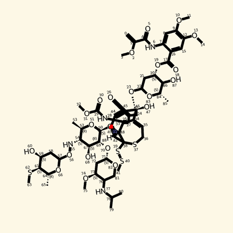 C=C(OC)C(=O)Nc1cc(OC)c(OC)cc1C(=O)O[C@H]1CC(O[C@@H]2C(=O)C(NC(=O)OC)=C3C4=CCSC(SSC)(/C=C\C#C[C@@]42O)[C@@H]3O[C@@H]2O[C@H](C)[C@@H](NOC3C[C@H](O)[C@H](SC)[C@@H](C)O3)[C@H](O)[C@H]2O[C@H]2C[C@H](OC)C(NC(C)C)CO2)O[C@@H](C)C1O